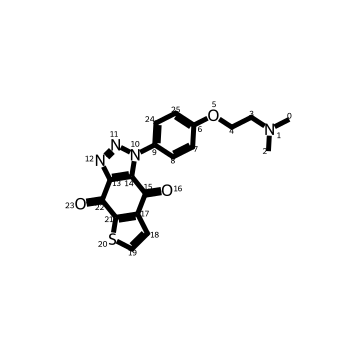 CN(C)CCOc1ccc(-n2nnc3c2C(=O)c2ccsc2C3=O)cc1